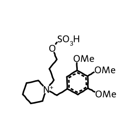 COc1cc(C[N+]2(CCCOS(=O)(=O)O)CCCCC2)cc(OC)c1OC